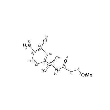 COCCC(=O)NS(=O)(=O)c1ccc(N)c(Cl)c1